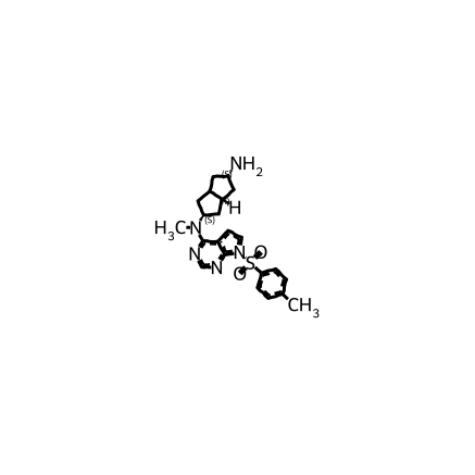 Cc1ccc(S(=O)(=O)n2ccc3c(N(C)[C@H]4CC5C[C@H](N)C[C@@H]5C4)ncnc32)cc1